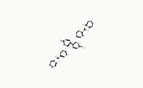 Nc1ccc(-c2ccc(N)cc2Oc2ccc(-c3nc4ccccc4[nH]3)cc2)c(Oc2ccc(-c3nc4ccccc4[nH]3)cc2)c1